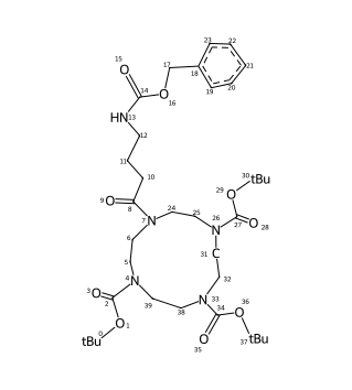 CC(C)(C)OC(=O)N1CCN(C(=O)CCCNC(=O)OCc2ccccc2)CCN(C(=O)OC(C)(C)C)CCN(C(=O)OC(C)(C)C)CC1